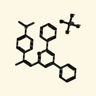 CC(=Cc1cc(-c2ccccc2)cc(-c2ccccc2)[o+]1)c1ccc(N(C)C)cc1.[O-][Cl+3]([O-])([O-])[O-]